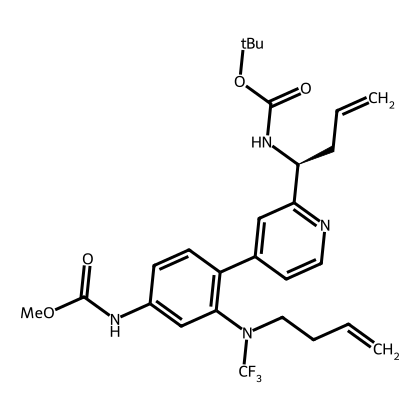 C=CCCN(c1cc(NC(=O)OC)ccc1-c1ccnc([C@H](CC=C)NC(=O)OC(C)(C)C)c1)C(F)(F)F